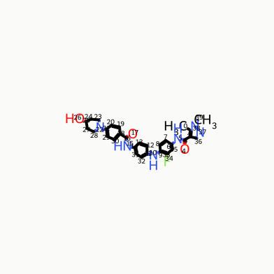 Cc1c(C(=O)Nc2ccc(Nc3ccc(NC(=O)c4ccc(N5CCC(O)CC5)cc4)cc3)c(F)c2)cnn1C